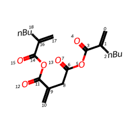 C=C(CCCC)C(=O)OC(=O)CC(=C)C(=O)OC(=O)C(=C)CCCC